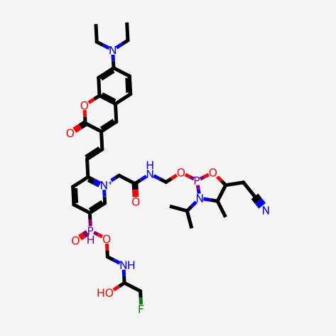 CCN(CC)c1ccc2cc(/C=C/c3ccc([PH](=O)OCNC(O)CF)c[n+]3CC(=O)NCOP3OC(CC#N)C(C)N3C(C)C)c(=O)oc2c1